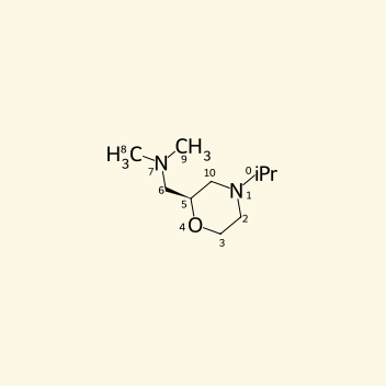 CC(C)N1CCO[C@@H](CN(C)C)C1